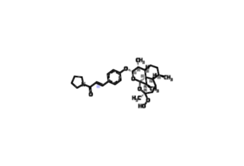 C[C@H]1[C@@H](Oc2ccc(/C=C/C(=O)N3CCCC3)cc2)OC23O[C@](C)(OO)CC[C@H]4[C@H](C)CC[C@@H]1[C@]42[C@H]3C